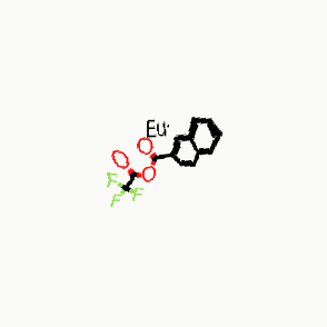 O=C(OC(=O)C(F)(F)F)c1ccc2ccccc2c1.[Eu]